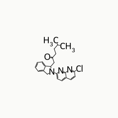 CC(C)CCC(=O)CC1c2ccccc2CN1c1ccc2ccc(Cl)nc2n1